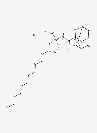 CCCCCCCCCCCCC[N+](CC)(CC)NC(=O)C12CC3CC(CC(C3)C1)C2.[Br-]